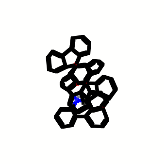 C[C@]12C=CC=CC1c1ccccc1C21c2ccccc2C2(c3ccccc3-c3ccccc32)c2cccc(N(c3ccccc3-c3ccccc3)c3ccccc3-c3ccccc3)c21